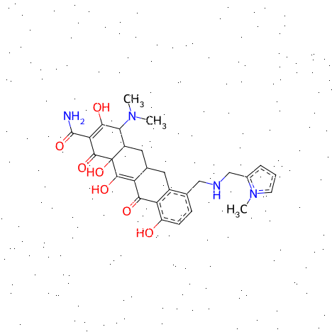 CN(C)C1C(O)=C(C(N)=O)C(=O)C2(O)C(O)=C3C(=O)c4c(O)ccc(CNCc5cccn5C)c4CC3CC12